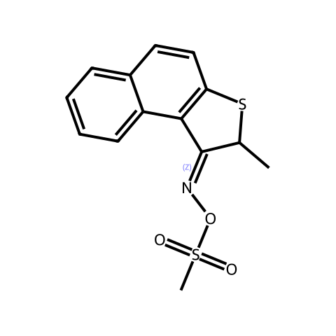 CC1Sc2ccc3ccccc3c2/C1=N/OS(C)(=O)=O